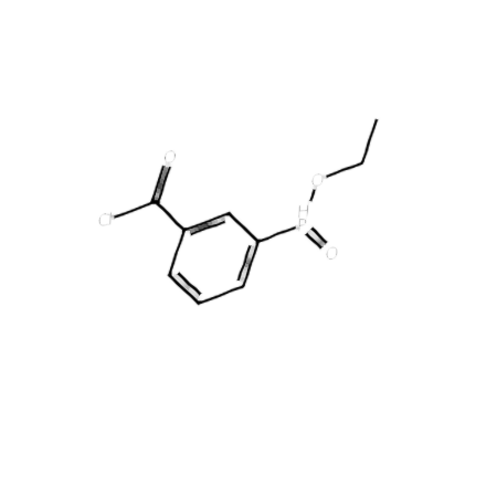 CCO[PH](=O)c1cccc(C(=O)Cl)c1